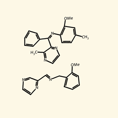 COc1cc(C)ccc1N=C(c1ccccc1)c1nccnc1C.COc1ccccc1CN=Cc1cnccn1